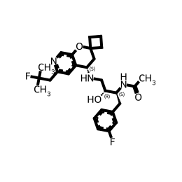 CC(=O)N[C@@H](Cc1cccc(F)c1)[C@H](O)CN[C@H]1CC2(CCC2)Oc2cnc(CC(C)(C)F)cc21